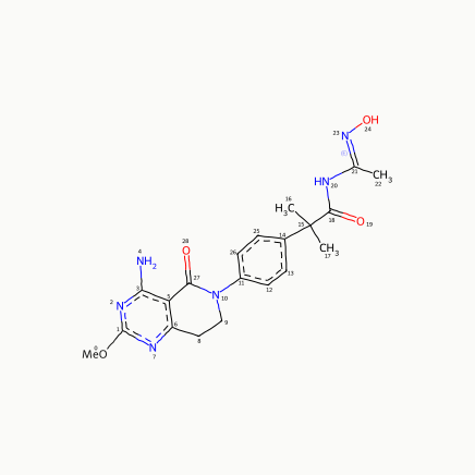 COc1nc(N)c2c(n1)CCN(c1ccc(C(C)(C)C(=O)N/C(C)=N/O)cc1)C2=O